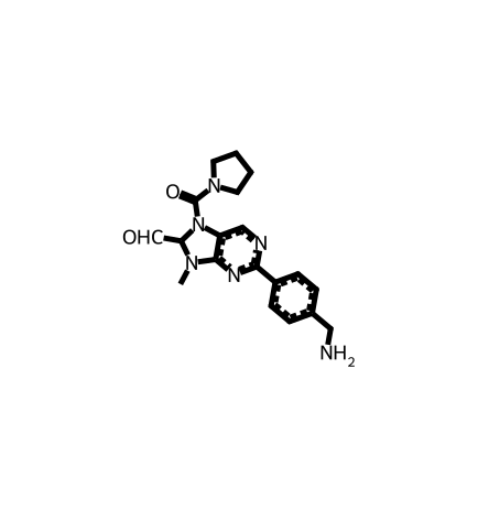 CN1c2nc(-c3ccc(CN)cc3)ncc2N(C(=O)N2CCCC2)C1C=O